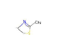 N#CC1=N[CH]CS1